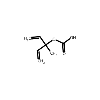 C=CC(C)(C=C)OC(=O)O